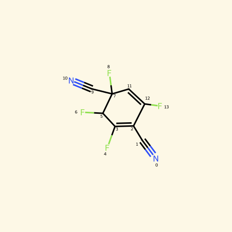 N#CC1=C(F)C(F)C(F)(C#N)C=C1F